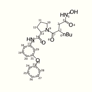 CCCCC(CC(=O)NO)C(=O)N1CCCC1C(=O)Nc1cccc(Oc2ccccc2)c1